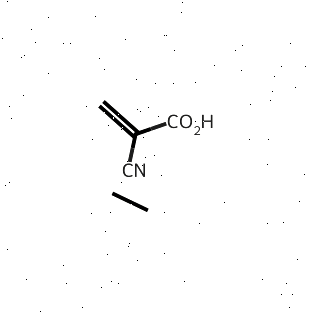 C=C(C#N)C(=O)O.CC